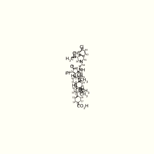 CC(C)C1=C2[C@H]3CC[C@@H]4[C@@]5(C)CC=C(C6=CCC(C(=O)O)CC6)C(C)(C)[C@@H]5CC[C@@]4(C)[C@]3(C)CC[C@@]2(NCCN(CCN(C)C)Cc2ccc(Cl)cc2)CC1=O